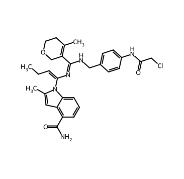 CC/C=C(/N=C(/NCc1ccc(NC(=O)CCl)cc1)C1=C(C)CCOC1)n1c(C)cc2c(C(N)=O)cccc21